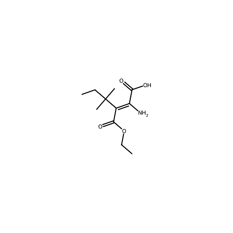 CCOC(=O)C(=C(N)C(=O)O)C(C)(C)CC